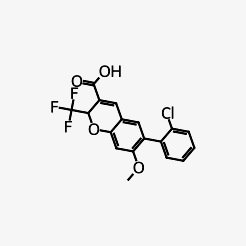 COc1cc2c(cc1-c1ccccc1Cl)C=C(C(=O)O)C(C(F)(F)F)O2